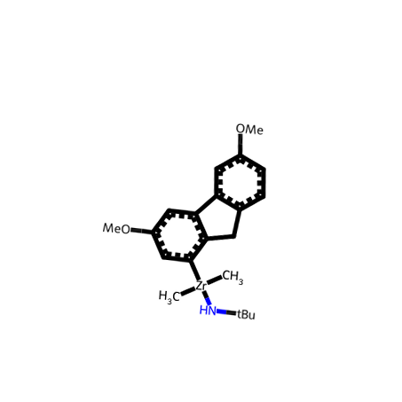 COc1ccc2c(c1)-c1cc(OC)c[c]([Zr]([CH3])([CH3])[NH]C(C)(C)C)c1C2